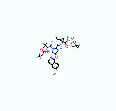 CCC1C[C@]1(NC(=O)C1C[C@@H](Oc2nccc3cc(OC)ccc23)CN1C(=O)C(NC(=O)CC(C)(C)C)C(C)(C)C)C(=O)NS(=O)(=O)OC1(C)CC1